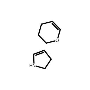 C1=CNCC1.C1=COCCC1